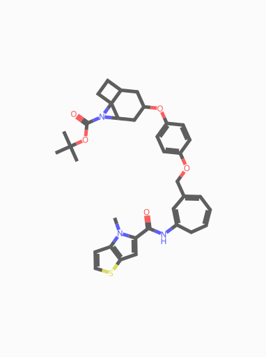 Cn1c(C(=O)NC2=CC(COc3ccc(OC4CC5CCC56C(C4)N6C(=O)OC(C)(C)C)cc3)=CC=CC2)cc2sccc21